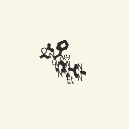 CCn1c(-c2cnc(C)nc2)nc2c(N[C@H](C(=O)N3CC(C)OC(C)C3)c3ccccc3)ncnc21